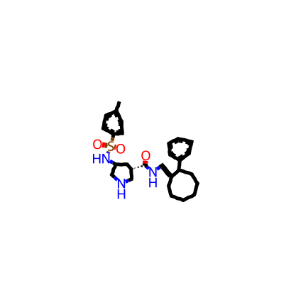 Cc1ccc(S(=O)(=O)NC2CNC[C@@H](C(=O)N/C=C3\CCCCCCC3c3ccccc3)C2)cc1